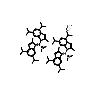 CC1=Cc2c(C(C)C)cc(C(C)C)cc2[CH]1[Hf]([CH]1C(C)=Cc2c(C(C)C)cc(C(C)C)cc21)=[Si](C)C.CC1=Cc2c(C(C)C)cc(C(C)C)cc2[CH]1[Hf]([CH]1C(C)=Cc2c(C(C)C)cc(C(C)C)cc21)=[Si](C)C.[Cl-].[Cl-]